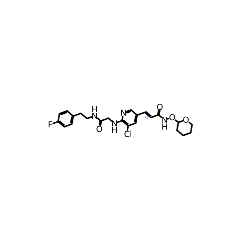 O=C(/C=C/c1cnc(NCC(=O)NCCc2ccc(F)cc2)c(Cl)c1)NOC1CCCCO1